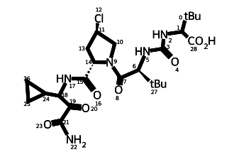 CC(C)(C)C(NC(=O)N[C@H](C(=O)N1C[C@H](Cl)C[C@H]1C(=O)NC(C(=O)C(N)=O)C1CC1)C(C)(C)C)C(=O)O